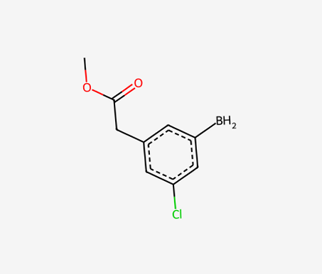 Bc1cc(Cl)cc(CC(=O)OC)c1